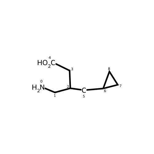 NCC(CC(=O)O)CC1CC1